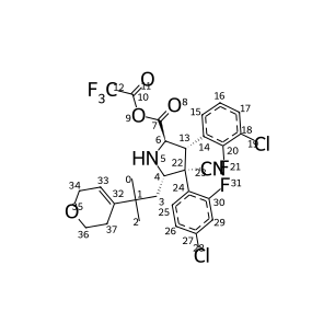 CC(C)(C[C@@H]1N[C@@H](C(=O)OC(=O)C(F)(F)F)[C@H](c2cccc(Cl)c2F)[C@@]1(C#N)c1ccc(Cl)cc1F)C1=CCOCC1